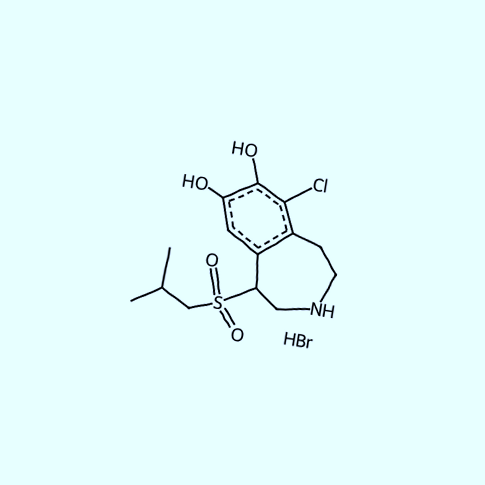 Br.CC(C)CS(=O)(=O)C1CNCCc2c1cc(O)c(O)c2Cl